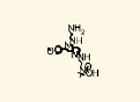 COc1ccc(-c2cc3nc(NCCCN(C(=O)O)C(C)(C)C)ccc3c(NCCCN)n2)cc1